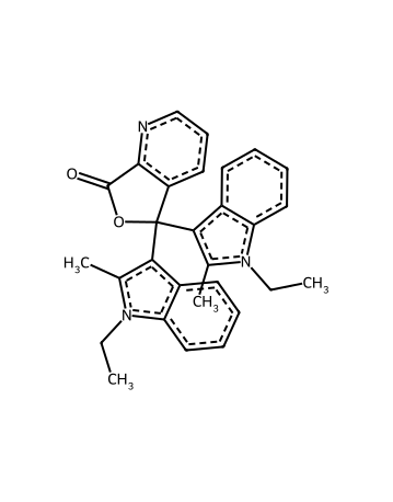 CCn1c(C)c(C2(c3c(C)n(CC)c4ccccc34)OC(=O)c3ncccc32)c2ccccc21